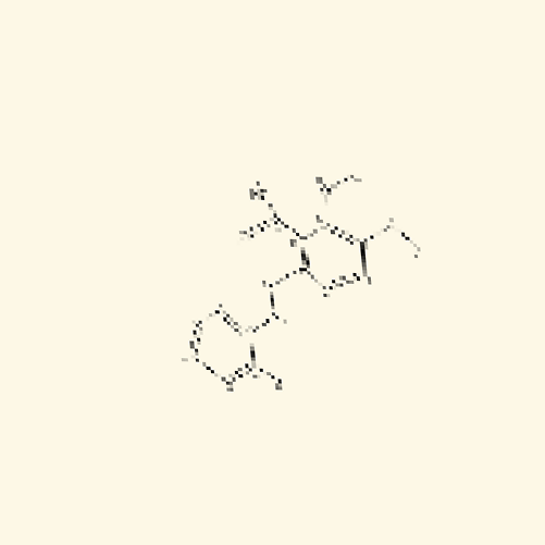 CCc1ccc(CSc2ccccc2C)c(C(=O)O)c1OC